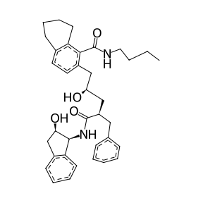 CCCCNC(=O)c1c(C[C@H](O)C[C@@H](Cc2ccccc2)C(=O)N[C@H]2c3ccccc3C[C@H]2O)ccc2c1CCCC2